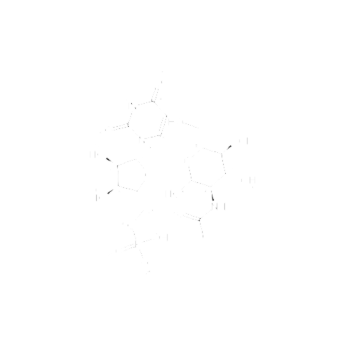 CC(=O)N[C@H]1C(O)O[C@H](CO)[C@@H](O)[C@@H]1O.O=c1ccn([C@@H]2O[C@H](COP(=O)(O)O)[C@@H](O)[C@H]2O)c(=O)[nH]1